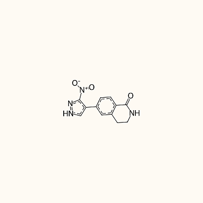 O=C1NCCc2cc(-c3c[nH]nc3[N+](=O)[O-])ccc21